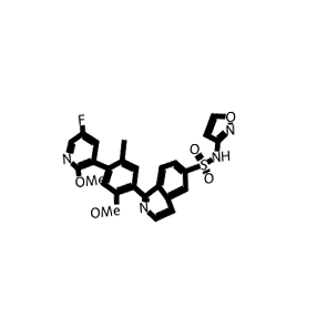 COc1cc(-c2cc(F)cnc2OC)c(C)cc1-c1nccc2cc(S(=O)(=O)Nc3ccon3)ccc12